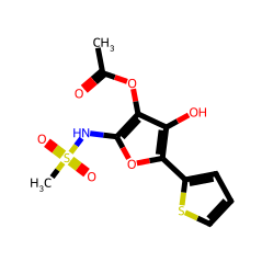 CC(=O)Oc1c(NS(C)(=O)=O)oc(-c2cccs2)c1O